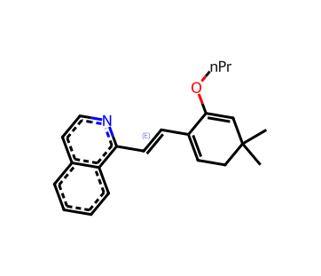 CCCOC1=CC(C)(C)CC=C1/C=C/c1nccc2ccccc12